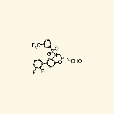 O=CCC[C@H]1CN(S(=O)(=O)c2cccc(C(F)(F)F)c2)c2cc(-c3cccc(F)c3F)ccc2O1